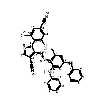 Cc1cc(Nc2ccccc2)cc(Nc2ccccc2)c1N=Nc1c(C#N)cnn1-c1c(Cl)cc(C#N)cc1Cl